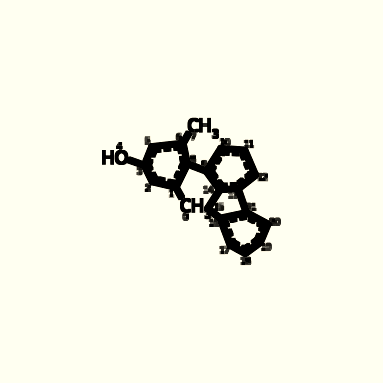 Cc1cc(O)cc(C)c1-c1cccc2c1Cc1ccccc1-2